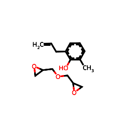 C(OCC1CO1)C1CO1.C=CCc1cccc(C)c1O